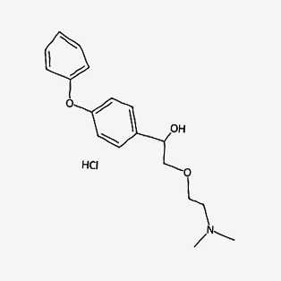 CN(C)CCOCC(O)c1ccc(Oc2ccccc2)cc1.Cl